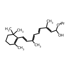 CC(C=CC1=C(C)CCCC1(C)C)=CC=CC(C)=CC(O)OC(C)C